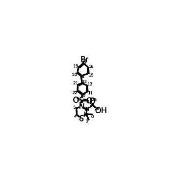 CC1(C)SCCN(S(=O)(=O)c2ccc(-c3ccc(Br)cc3)cc2)[C@H]1C(=O)O